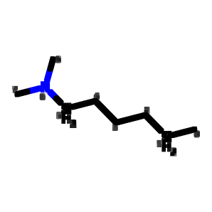 C[SiH2]CCC[SiH2]N(C)C